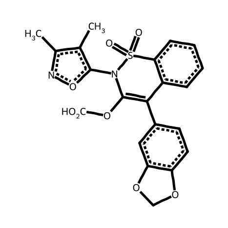 Cc1noc(N2C(OC(=O)O)=C(c3ccc4c(c3)OCO4)c3ccccc3S2(=O)=O)c1C